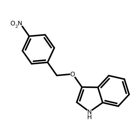 O=[N+]([O-])c1ccc(COc2c[nH]c3ccccc23)cc1